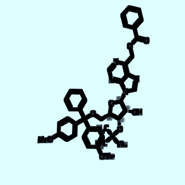 COc1ccc(C(OC[C@H]2O[C@@H](n3cnc4c(COC(=O)c5ccccc5)ncnc43)[C@H](O)[C@@H]2O[Si](C)(C)C(C)(C)C)(c2ccccc2)c2ccc(OC)cc2)cc1